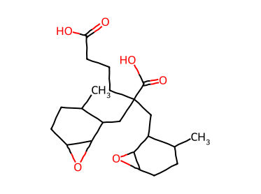 CC1CCC2OC2C1CC(CCCC(=O)O)(CC1C(C)CCC2OC21)C(=O)O